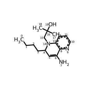 CCCCC1C=C(N)c2ncccc2N1CC(C)(C)O